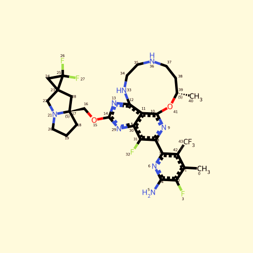 Cc1c(F)c(N)nc(-c2nc3c4c(nc(OC[C@@]56CCCN5CC5(CC5(F)F)C6)nc4c2F)NCCNCC[C@H](C)O3)c1C(F)(F)F